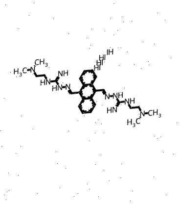 CN(C)CCNC(=N)NN=Cc1c2ccccc2c(C=NNC(=N)NCCN(C)C)c2ccccc12.I.I.I.I